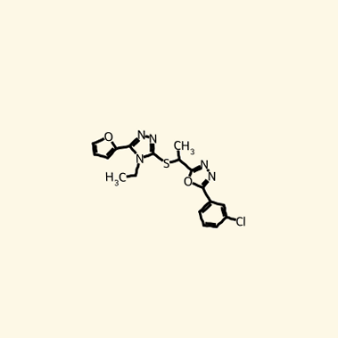 CCn1c(SC(C)c2nnc(-c3cccc(Cl)c3)o2)nnc1-c1ccco1